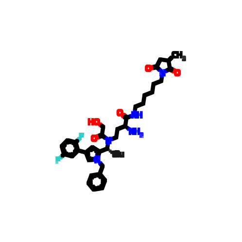 CC1CC(=O)N(CCCCCCNC(=O)[C@@H](N)CCN(C(=O)CO)[C@@H](c2cc(-c3cc(F)ccc3F)cn2Cc2ccccc2)C(C)(C)C)C1=O